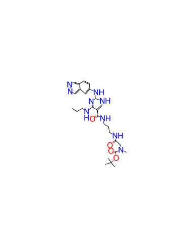 CCCNC1=NC(Nc2ccc3cnncc3c2)NC=C1C(=O)NCCCNC(=O)CN(C)C(=O)OC(C)(C)C